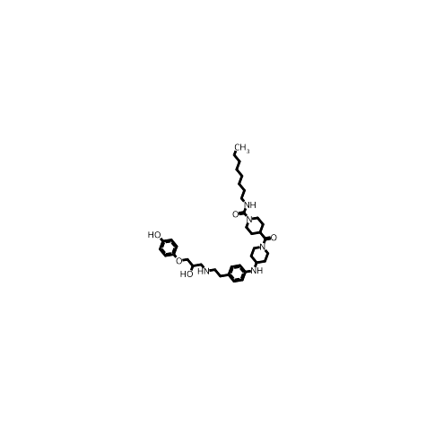 CCCCCCCCNC(=O)N1CCC(C(=O)N2CCC(Nc3ccc(CCNCC(O)COc4ccc(O)cc4)cc3)CC2)CC1